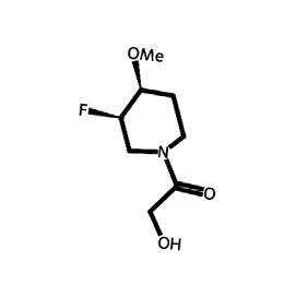 CO[C@H]1CCN(C(=O)CO)C[C@H]1F